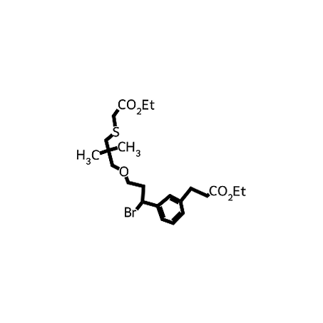 CCOC(=O)CCc1cccc(C(Br)CCOCC(C)(C)CSCC(=O)OCC)c1